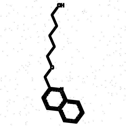 OCCCCCOCc1ccc2ccccc2n1